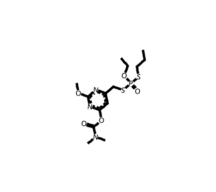 CCCSP(=O)(OCC)SCc1cc(OC(=O)N(C)C)nc(OC)n1